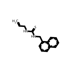 C=CCNC(=S)NCc1cccc2ccccc12